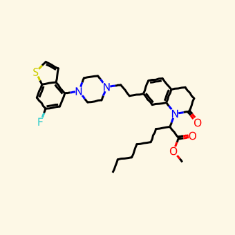 CCCCCCC(C(=O)OC)N1C(=O)CCc2ccc(CCN3CCN(c4cc(F)cc5sccc45)CC3)cc21